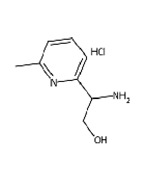 Cc1cccc(C(N)CO)n1.Cl